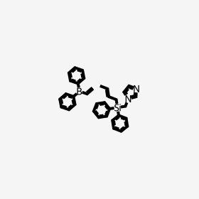 C=CB(c1ccccc1)c1ccccc1.CC=CC[Si](Cn1ccnc1)(c1ccccc1)c1ccccc1